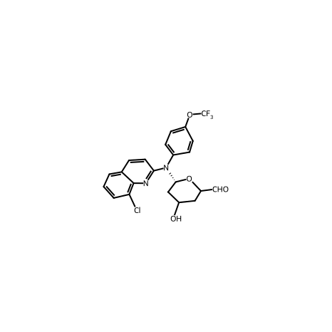 O=CC1CC(O)C[C@H](N(c2ccc(OC(F)(F)F)cc2)c2ccc3cccc(Cl)c3n2)O1